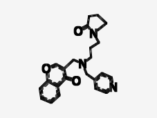 O=C1CCCN1CCCN(Cc1ccncc1)Cc1coc2ccccc2c1=O